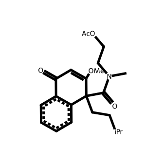 COC1=CC(=O)c2ccccc2C1(CCC(C)C)C(=O)N(C)CCOC(C)=O